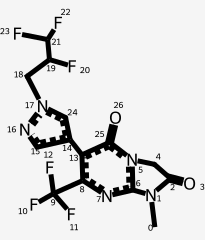 CN1C(=O)Cn2c1nc(C(F)(F)F)c(-c1cnn(CC(F)C(F)F)c1)c2=O